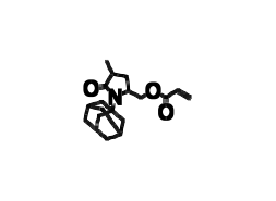 C=CC(=O)OCC1CC(C)C(=O)N1C12CC3CC(CC(C3)C1)C2